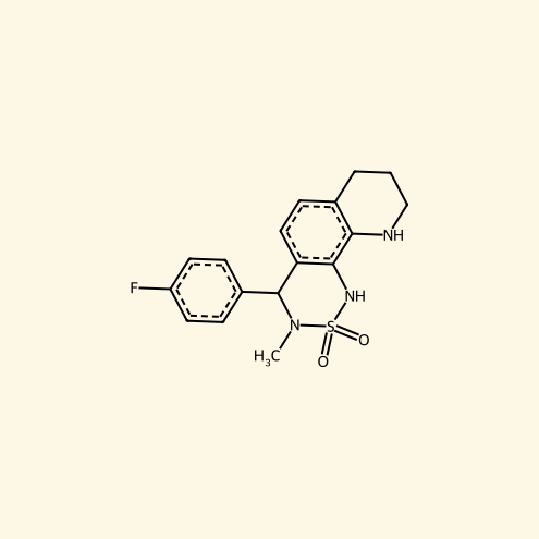 CN1C(c2ccc(F)cc2)c2ccc3c(c2NS1(=O)=O)NCCC3